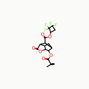 C=C(C)C(=O)OC1C2CC3C1OC(=O)C3C2C(=O)OC1CC(F)(F)C1(F)F